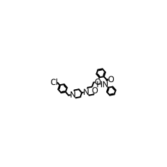 O=C(Nc1ccccc1)c1ccccc1OCC1CN(C2CCN(Cc3ccc(Cl)cc3)CC2)CCO1